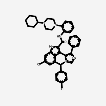 O=C(Nc1ccccc1N1CCN(C2CCCCC2)CC1)c1[nH]c2cc(Cl)cc3c2c1-c1c(-c2ccccc2)ncn1C3c1ccc(Cl)cc1